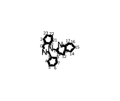 C1=NC(c2ccccc2)N(c2ccc3ccccc3n2)c2ccccc21